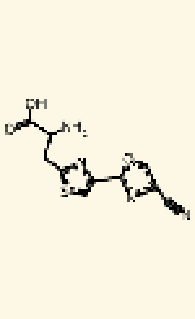 N#Cc1coc(-c2csc(CC(N)C(=O)O)n2)n1